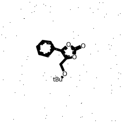 CC(C)(C)OCc1oc(=O)oc1-c1ccccc1